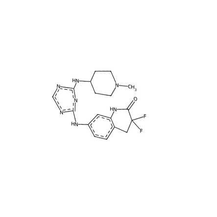 CN1CCC(Nc2ncnc(Nc3ccc4c(c3)NC(=O)C(F)(F)C4)n2)CC1